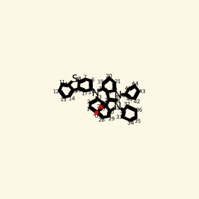 c1ccc(N(c2ccc3sc4ccccc4c3c2)c2cccc3c2c2c4ccccc4n(-c4ccccc4)c2n3-c2ccccc2)cc1